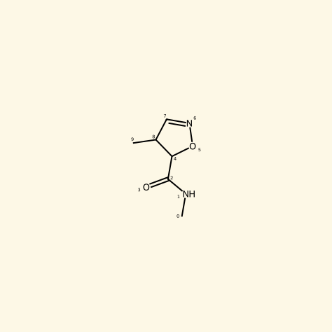 CNC(=O)C1ON=CC1C